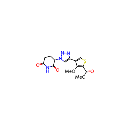 COC(=O)c1scc(-c2cn(C3CCC(=O)NC3=O)nn2)c1OC